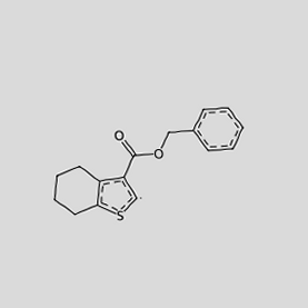 O=C(OCc1ccccc1)c1[c]sc2c1CCCC2